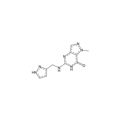 Cn1ncc2nc(NCc3cc[nH]n3)[nH]c(=O)c21